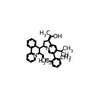 C=CC1C(C2C/C(=C(\C)O)c3cc(C(C)C)c(-c4c(C)cccc4C)c[n+]32)c2ccccc2-c2cccc[n+]21